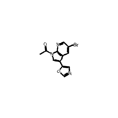 CC(=O)n1cc(-c2cnco2)c2cc(Br)cnc21